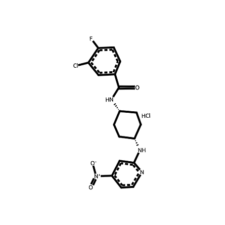 Cl.O=C(N[C@H]1CC[C@@H](Nc2cc([N+](=O)[O-])ccn2)CC1)c1ccc(F)c(Cl)c1